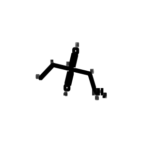 CCS(=O)(=O)CN